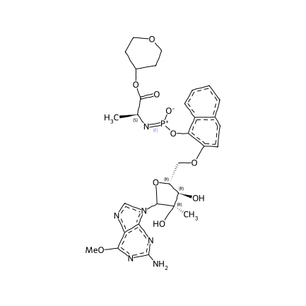 COc1nc(N)nc2c1ncn2C1O[C@H](COc2ccc3ccccc3c2O/[P+]([O-])=N/[C@@H](C)C(=O)OC2CCOCC2)[C@@H](O)[C@@]1(C)O